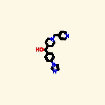 OC(c1ccc(-n2ccnc2)cc1)C1CCN(Cc2ccncc2)CC1